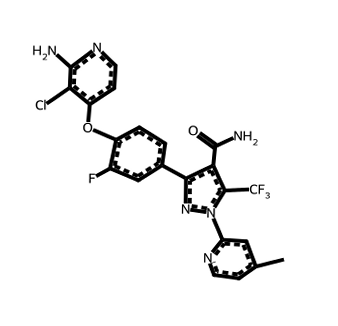 Cc1ccnc(-n2nc(-c3ccc(Oc4ccnc(N)c4Cl)c(F)c3)c(C(N)=O)c2C(F)(F)F)c1